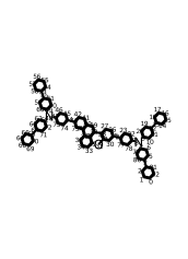 c1ccc(-c2ccc(N(c3ccc(-c4ccccc4)cc3)c3ccc(-c4ccc5c(c4)Oc4cccc6c4c-5cc4ccc(-c5ccc(N(c7ccc(-c8ccccc8)cc7)c7ccc(-c8ccccc8)cc7)cc5)cc46)cc3)cc2)cc1